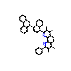 Cc1c(-c2ccccc2)nc2c(ccc3c(C)c(C)c(-c4ccc(-c5cc6ccccc6c6ccccc56)c5ccccc45)nc32)c1C